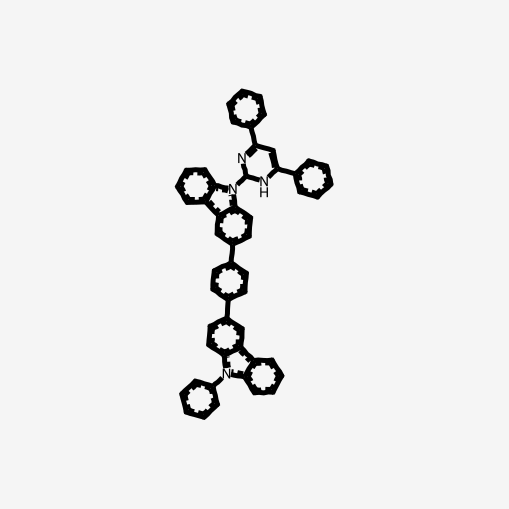 C1=C(c2ccccc2)NC(n2c3ccccc3c3cc(-c4ccc(-c5ccc6c(c5)c5ccccc5n6-c5ccccc5)cc4)ccc32)N=C1c1ccccc1